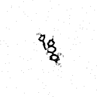 O=C1C(c2ccc(C(F)(F)F)cc2C(F)(F)F)CCc2cc(F)ccc2N1CC#CC1CCC(O)CC1